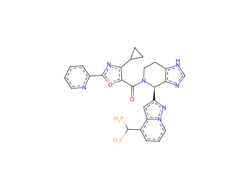 O=C(c1oc(-c2ccccn2)nc1C1CC1)N1CCc2[nH]cnc2[C@H]1c1cc2c(C(P)P)cccn2n1